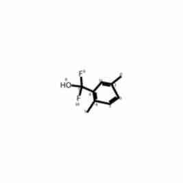 Cc1ccc(C)c(C(O)(F)F)c1